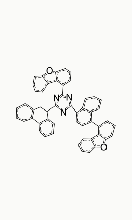 c1ccc2c(c1)CC(c1nc(-c3ccc(-c4cccc5oc6ccccc6c45)c4ccccc34)nc(-c3cccc4oc5ccccc5c34)n1)c1ccccc1-2